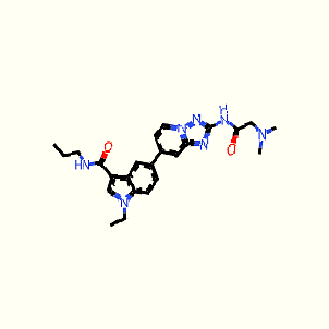 CCCNC(=O)c1cn(CC)c2ccc(-c3ccn4nc(NC(=O)CN(C)C)nc4c3)cc12